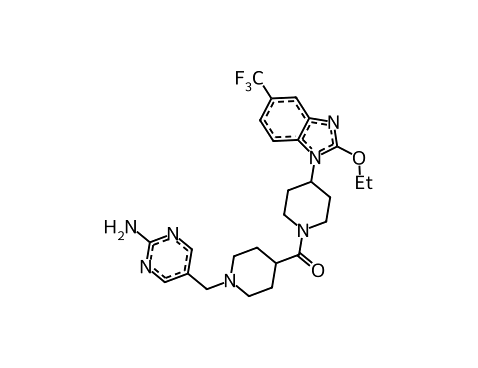 CCOc1nc2cc(C(F)(F)F)ccc2n1C1CCN(C(=O)C2CCN(Cc3cnc(N)nc3)CC2)CC1